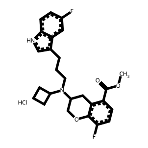 COC(=O)c1ccc(F)c2c1CC(N(CCCc1c[nH]c3ccc(F)cc13)C1CCC1)CO2.Cl